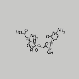 Nc1ccn([C@H]2C[C@H](O)[C@@H](COP(=O)(O)NC(=O)[C@@H](N)CC(=O)O)O2)c(=O)n1